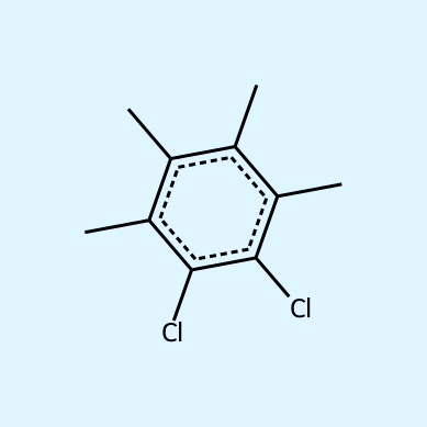 Cc1c(C)c(C)c(Cl)c(Cl)c1C